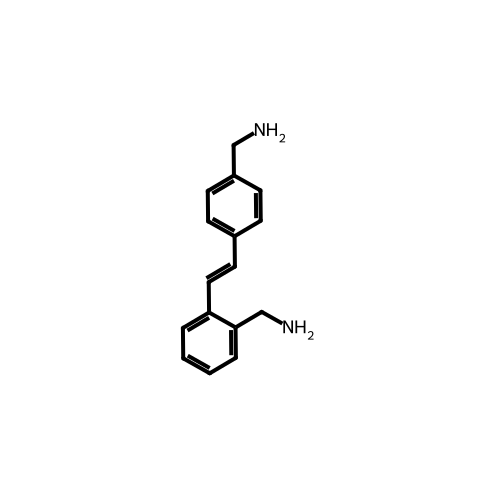 NCc1ccc(C=Cc2ccccc2CN)cc1